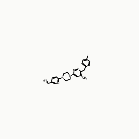 Cc1cc(N2CCN(c3ccc(C=N)cn3)CC2)nnc1Cc1ccc(F)cc1